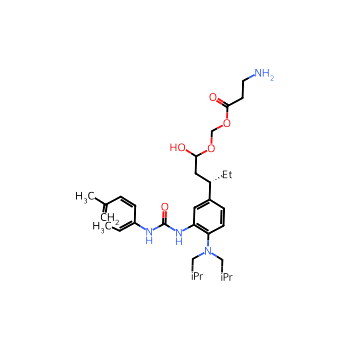 C=C(C)/C=C\C(=C/C)NC(=O)Nc1cc([C@@H](CC)CC(O)OCOC(=O)CCN)ccc1N(CC(C)C)CC(C)C